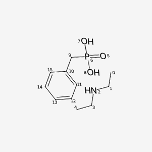 CCNCC.O=P(O)(O)Cc1ccccc1